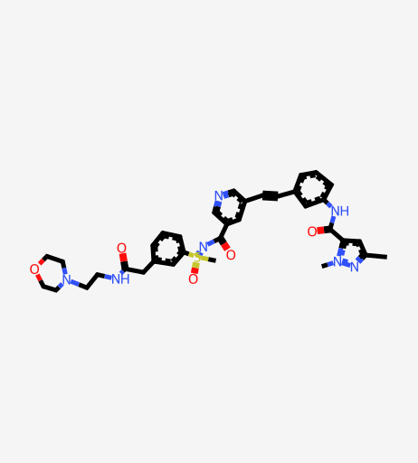 Cc1cc(C(=O)Nc2cccc(C#Cc3cncc(C(=O)N=S(C)(=O)c4cccc(CC(=O)NCCN5CCOCC5)c4)c3)c2)n(C)n1